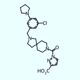 O=C(O)c1ccn(C(=O)N2CCC3(CCN(Cc4cc(Cl)cc(N5CCCC5)c4)C3)CC2)n1